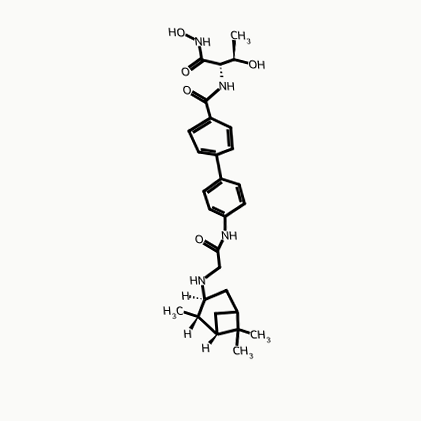 C[C@@H]1[C@@H](NCC(=O)Nc2ccc(-c3ccc(C(=O)N[C@H](C(=O)NO)[C@@H](C)O)cc3)cc2)CC2C[C@@H]1C2(C)C